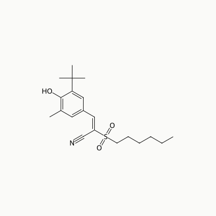 CCCCCCS(=O)(=O)/C(C#N)=C/c1cc(C)c(O)c(C(C)(C)C)c1